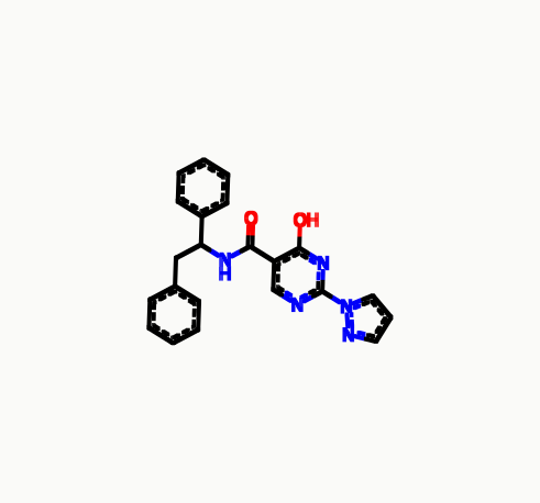 O=C(NC(Cc1ccccc1)c1ccccc1)c1cnc(-n2cccn2)nc1O